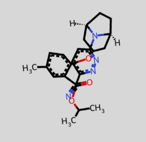 Cc1ccc(O[C@H]2C[C@H]3CC[C@@H](C2)N3c2ccc(C#N)nn2)c(C(=O)OC(C)C)c1